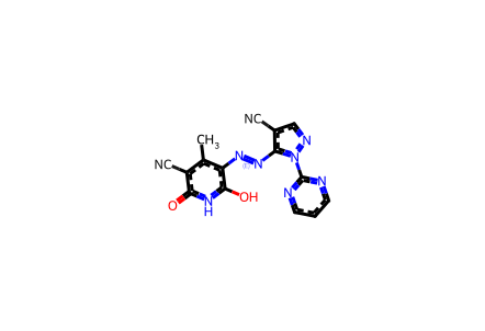 Cc1c(/N=N/c2c(C#N)cnn2-c2ncccn2)c(O)[nH]c(=O)c1C#N